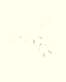 COCCOc1cc2[nH]c(=O)c(=O)[nH]c2cc1OCCOC